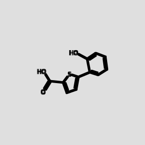 O=C(O)c1ccc(-c2ccccc2O)s1